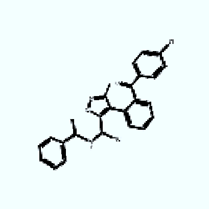 [C-]#[N+]C(NC(C)c1ccccc1)c1onc(C)c1-c1ccccc1C(=O)c1ccc(Cl)cc1